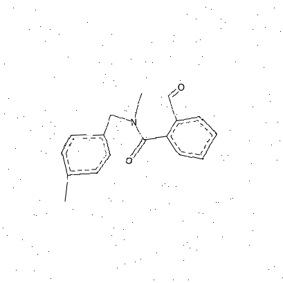 Cc1ccc(CN(C)C(=O)c2ccccc2C=O)cc1